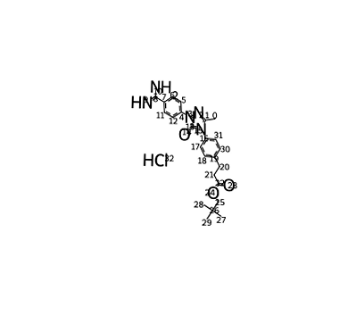 Cc1nn(-c2ccc(C(=N)N)cc2)c(=O)n1-c1ccc(CCC(=O)OCC(C)(C)C)cc1.Cl